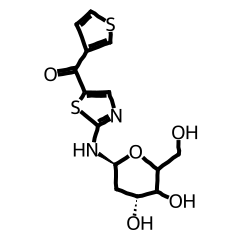 O=C(c1ccsc1)c1cnc(N[C@@H]2C[C@@H](O)C(O)C(CO)O2)s1